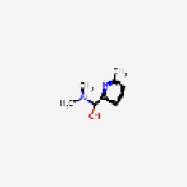 Cc1cccc(C(O)N(C)C)n1